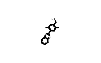 Cc1cc(-c2nc3ccccc3s2)c(C)cc1CS